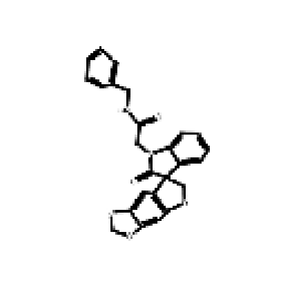 O=C(CN1C(=O)C2(COc3cc4c(cc32)OCO4)c2ccccc21)NCc1ccccc1